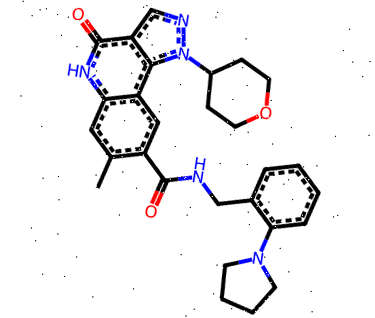 Cc1cc2[nH]c(=O)c3cnn(C4CCOCC4)c3c2cc1C(=O)NCc1ccccc1N1CCCC1